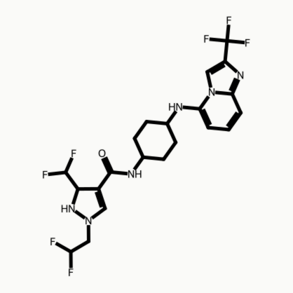 O=C(NC1CCC(Nc2cccc3nc(C(F)(F)F)cn23)CC1)C1=CN(CC(F)F)NC1C(F)F